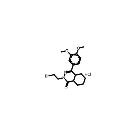 COc1ccc(C2=NN(CCBr)C(=O)C3CCCCC23)cc1OC.Cl